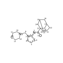 O=C(N=c1sccn1CN1CCOCC1)C12CC3CC(CC(C3)C1)C2